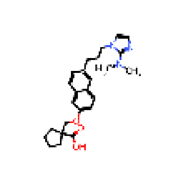 CN(C)c1nccn1CCCc1ccc2cc(OCC3(C(=O)O)CCCC3)ccc2c1